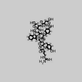 N=C(N)NCCC[C@H](NC(=O)[C@H](Cc1ccc(O)cc1)NC(=O)[C@H](Cc1c[nH]c2ccccc12)NC(=O)[C@H](Cc1ccc(O)cc1)NC(=O)[C@H](CO)NC(=O)[C@H](CC(=O)O)NC(=O)[C@@H](N)CC(=O)O)C(=O)O